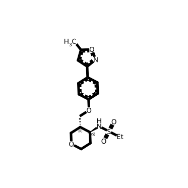 CCS(=O)(=O)N[C@H]1CCOC[C@@H]1COc1ccc(-c2cc(C)on2)cc1